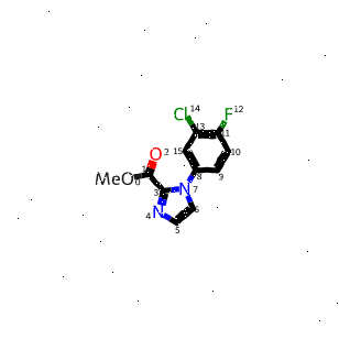 COC(=O)c1nccn1-c1ccc(F)c(Cl)c1